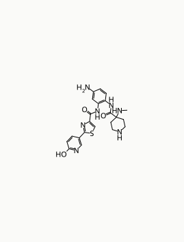 CNC1(C(=O)Nc2ccc(N)cc2NC(=O)c2csc(-c3ccc(O)nc3)n2)CCNCC1